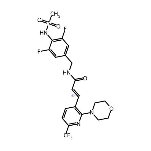 CS(=O)(=O)Nc1c(F)cc(CNC(=O)/C=C/c2ccc(C(F)(F)F)nc2N2CCOCC2)cc1F